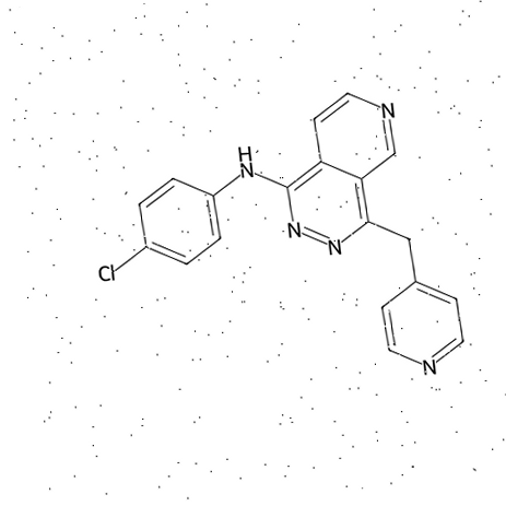 Clc1ccc(Nc2nnc(Cc3ccncc3)c3cnccc23)cc1